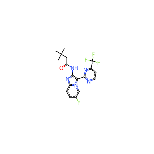 CC(C)(C)CC(=O)Nc1nc2ccc(F)cn2c1-c1nccc(C(F)(F)F)n1